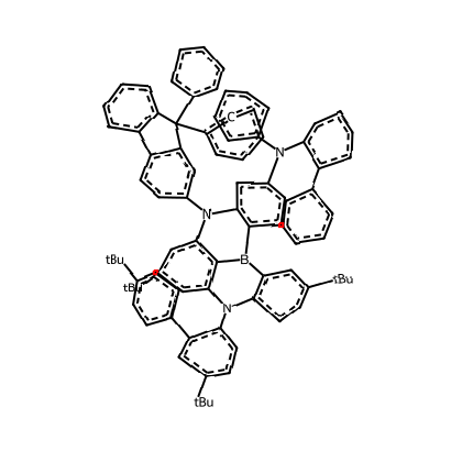 CC(C)(C)c1ccc(-c2cc(C(C)(C)C)ccc2N2c3ccc(C(C)(C)C)cc3B3c4ccc(N(c5ccccc5)c5ccccc5-c5ccccc5)cc4N(c4ccc5c(c4)C(c4ccccc4)(c4ccccc4)c4ccccc4-5)c4cc(C(C)(C)C)cc2c43)cc1